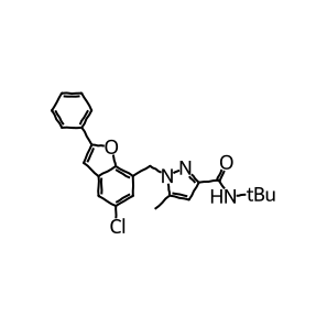 Cc1cc(C(=O)NC(C)(C)C)nn1Cc1cc(Cl)cc2cc(-c3ccccc3)oc12